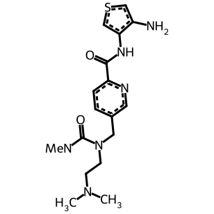 CNC(=O)N(CCN(C)C)Cc1ccc(C(=O)Nc2cscc2N)nc1